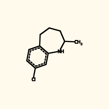 CC1CCCc2ccc(Cl)cc2N1